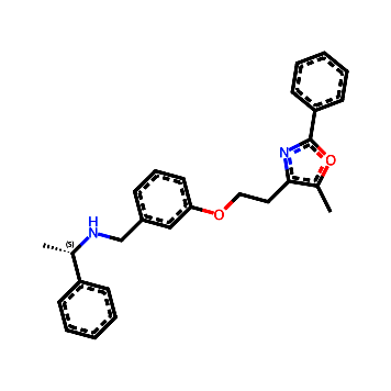 Cc1oc(-c2ccccc2)nc1CCOc1cccc(CN[C@@H](C)c2ccccc2)c1